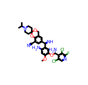 COc1cc(N)c(C(=N)c2cc(C#N)c3c(c2)COC2(CCN(C(C)C)CC2)O3)cc1O[C@H](N)c1c(Cl)cnc(F)c1Cl